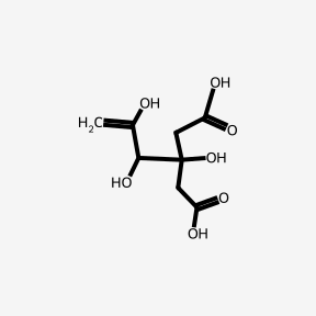 C=C(O)C(O)C(O)(CC(=O)O)CC(=O)O